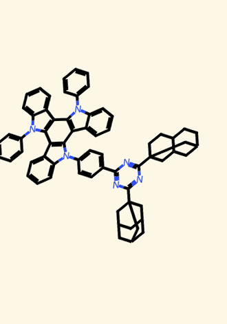 c1ccc(-n2c3ccccc3c3c2c2c4ccccc4n(-c4ccc(-c5nc(C67CC8CC(CC(C8)C6)C7)nc(C67CCC8CCC(CC8C6)C7)n5)cc4)c2c2c4ccccc4n(-c4ccccc4)c32)cc1